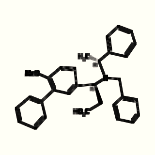 COc1ccc([C@H](CC(=O)O)N(Cc2ccccc2)[C@H](C)c2ccccc2)cc1-c1ccccc1